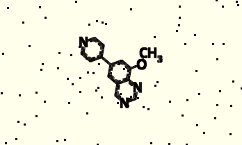 COc1cc(-c2ccncc2)cc2cncnc12